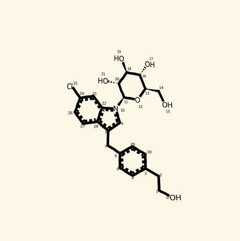 OCCc1ccc(Cc2cn([C@@H]3O[C@H](CO)[C@@H](O)[C@H](O)[C@H]3O)c3cc(Cl)ccc23)cc1